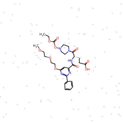 CCOC(=O)ON1CCN(C(=O)[C@H](CCC(=O)O)NC(=O)c2cc(OCCOCCOC)nc(-c3ccccc3)n2)CC1